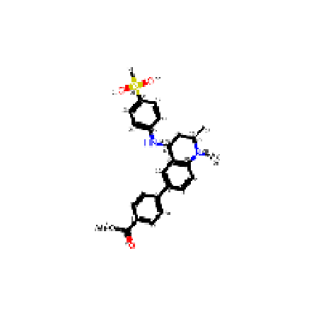 COC(=O)c1ccc(-c2ccc3c(c2)[C@@H](Nc2ccc(S(C)(=O)=O)cc2)C[C@@H](C)N3C(C)=O)cc1